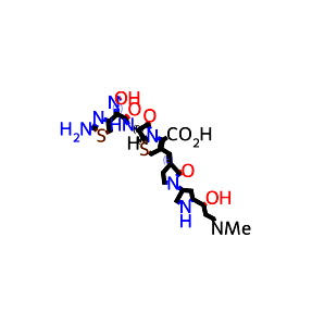 CNCCC(O)C1CC(N2CC/C(=C\C3=C(C(=O)O)N4C(=O)[C@@H](NC(=O)/C(=N\O)c5csc(N)n5)[C@H]4SC3)C2=O)CN1